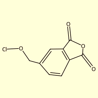 O=C1OC(=O)c2cc(COCl)ccc21